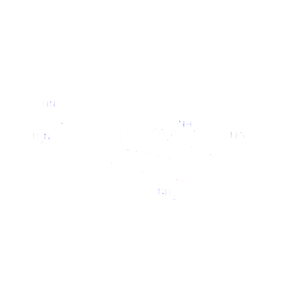 N=C(N)c1ccc(C(CN)(C(=O)O)C(=O)C(N)CC=O)cc1